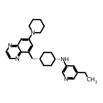 CCc1cncc(N[C@H]2CC[C@@H](Cc3cc(N4CCCCC4)cc4nccnc34)CC2)c1